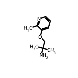 Cc1ncccc1OCC(C)(C)N